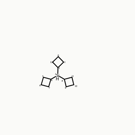 C1CC([SiH](C2CCC2)C2CCC2)C1